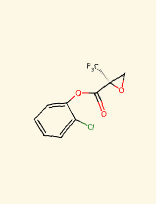 O=C(Oc1ccccc1Cl)[C@@]1(C(F)(F)F)CO1